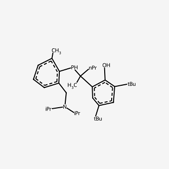 CCCC(C)(Pc1c(C)cccc1CN(C(C)C)C(C)C)c1cc(C(C)(C)C)cc(C(C)(C)C)c1O